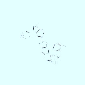 Cc1cc2nc(-c3cnc4c(c3)c(C3=CCN(C)CC3)cn4C)sc2c(-c2ccc(Cl)cc2)c1[C@H](OC(C)(C)C)C(=O)O